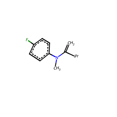 C=C(C(C)C)N(C)c1ccc(F)cc1